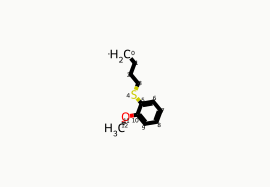 [CH2]CCCSc1ccccc1OC